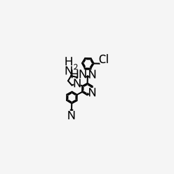 N#Cc1cccc(-c2cncc(-c3nc4c(CCl)cccc4[nH]3)c2N2CC[C@H](N)C2)c1